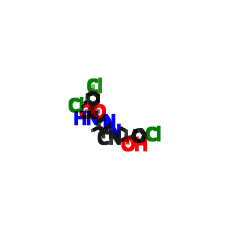 Cc1nc(N2CCC(O)(c3ccc(Cl)cc3)CC2)c(C#N)c(C)c1NS(=O)(=O)c1ccc(Cl)cc1Cl